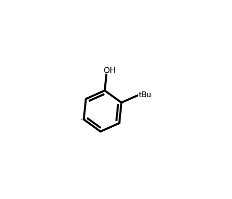 CC(C)(C)c1cc[c]cc1O